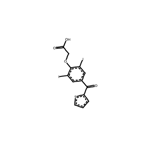 O=C(O)COc1c(I)cc(C(=O)c2cccs2)cc1I